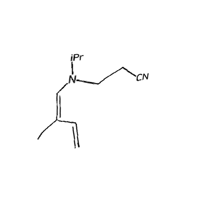 C=C/C(C)=C\N(CCC#N)C(C)C